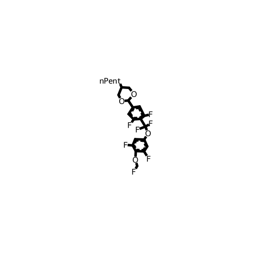 CCCCCC1COC(c2cc(F)c(C(F)(F)Oc3cc(F)c(OCF)c(F)c3)c(F)c2)OC1